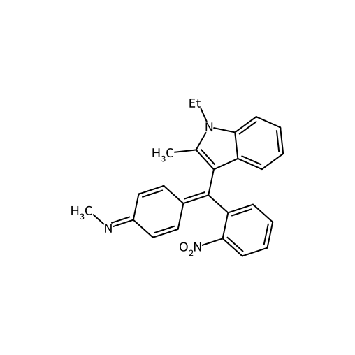 CCn1c(C)c(C(=C2C=CC(=NC)C=C2)c2ccccc2[N+](=O)[O-])c2ccccc21